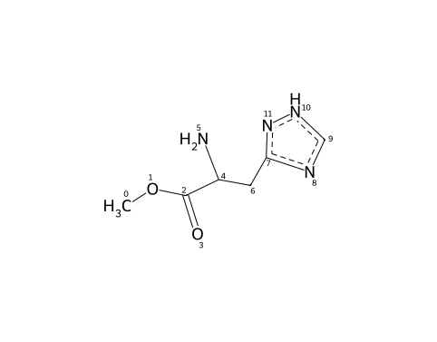 COC(=O)C(N)Cc1nc[nH]n1